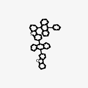 c1ccc(-c2c3ccccc3c(-c3cccc4sc5cc(-c6c7ccccc7c(-c7ccc8c(c7)oc7ccccc78)c7ccccc67)ccc5c34)c3ccccc23)cc1